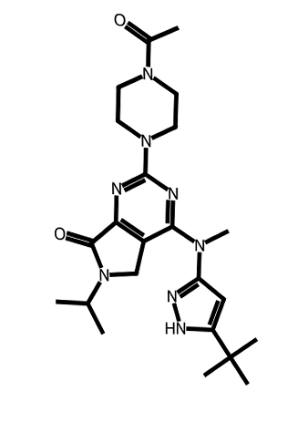 CC(=O)N1CCN(c2nc3c(c(N(C)c4cc(C(C)(C)C)[nH]n4)n2)CN(C(C)C)C3=O)CC1